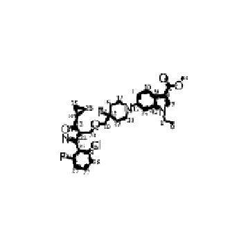 CCn1cc(C(=O)OC)c2ccc(N3CCC(F)(COCc4c(-c5c(F)cccc5Cl)noc4C4CC4)CC3)cc21